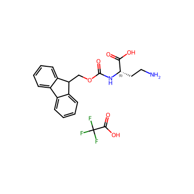 NCC[C@H](NC(=O)OCC1c2ccccc2-c2ccccc21)C(=O)O.O=C(O)C(F)(F)F